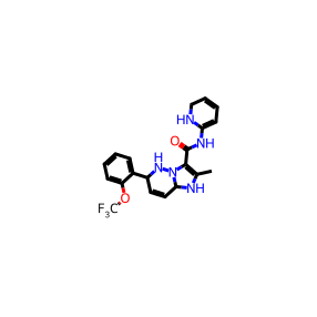 CC1=C(C(=O)NC2=CC=CCN2)N2NC(c3ccccc3OC(F)(F)F)C=CC2N1